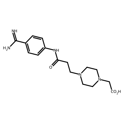 N=C(N)c1ccc(NC(=O)CCN2CCN(CC(=O)O)CC2)cc1